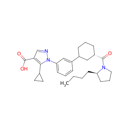 CCCC[C@@H]1CCCN1C(=O)[C@H]1CCCC(c2cccc(-n3ncc(C(=O)O)c3C3CC3)c2)C1